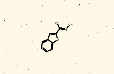 O/N=C(\Cl)c1cc2ccccc2o1